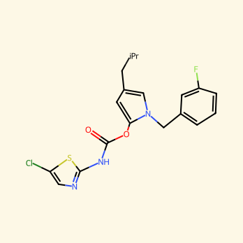 CC(C)Cc1cc(OC(=O)Nc2ncc(Cl)s2)n(Cc2cccc(F)c2)c1